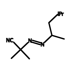 CC(C)CC(C)/N=N/C(C)(C)C#N